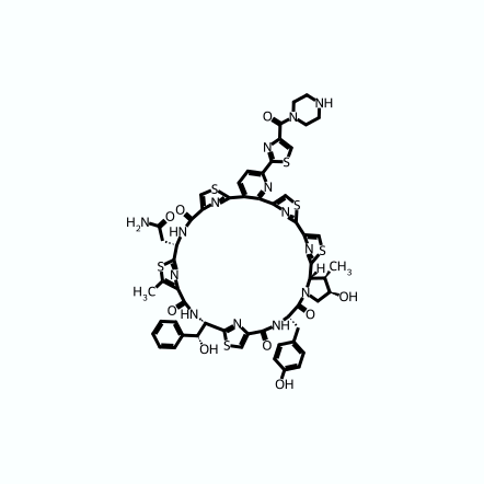 Cc1sc2nc1C(=O)N[C@@H]([C@H](O)c1ccccc1)c1nc(cs1)C(=O)N[C@@H](Cc1ccc(O)cc1)C(=O)N1C[C@H](O)[C@H](C)[C@H]1c1nc(cs1)-c1nc(cs1)-c1nc(-c3nc(C(=O)N4CCNCC4)cs3)ccc1-c1nc(cs1)C(=O)N[C@H]2CC(N)=O